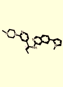 C/C=C(\Nc1cc2cc(-c3cccn3C)ccc2cn1)c1ccnc(N2CCN(C)CC2)c1